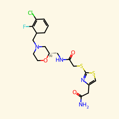 NC(=O)Cc1csc(SCC(=O)NC[C@H]2CN(CC3CC=CC(Cl)=C3F)CCO2)n1